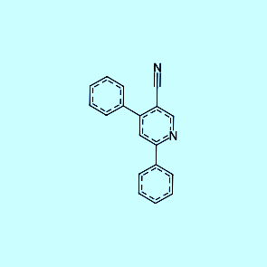 N#Cc1cnc(-c2ccccc2)cc1-c1ccccc1